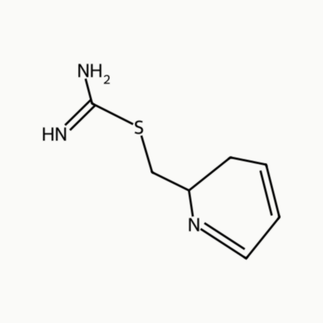 N=C(N)SCC1CC=CC=N1